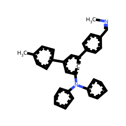 C/N=C\c1ccc(-c2cc(-c3ccc(C)cc3)cc(N(c3ccccc3)c3ccccc3)c2)cc1